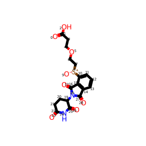 O=C(O)CCOCC[S+]([O-])c1cccc2c1C(=O)N(C1CCC(=O)NC1=O)C2=O